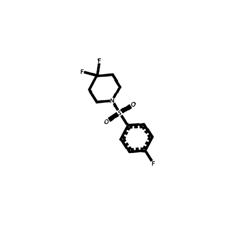 O=S(=O)(c1ccc(F)cc1)N1CCC(F)(F)CC1